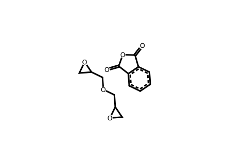 C(OCC1CO1)C1CO1.O=C1OC(=O)c2ccccc21